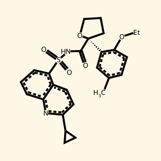 CCOc1ccc(C)cc1[C@@]1(C(=O)NS(=O)(=O)c2cccc3nc(C4CC4)ccc23)CCCO1